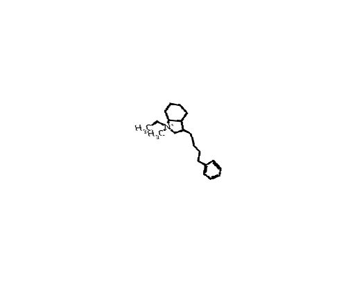 CC[N+]1(C)CC(CCCCc2ccccc2)C2CCCCC21